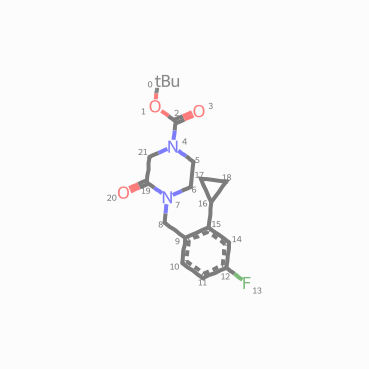 CC(C)(C)OC(=O)N1CCN(Cc2ccc(F)cc2C2CC2)C(=O)C1